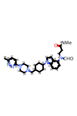 CNC(=O)CCN(C=O)c1cccc2c1ccn2C1CCC(CN2CCN(c3ccc(C)nn3)CC2)CC1